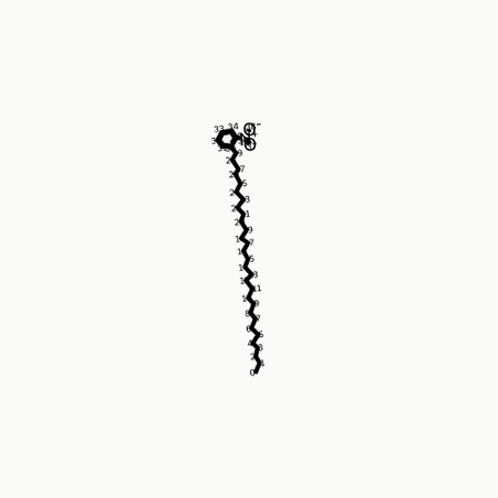 CCCCCCCCCCCCCCCCCCCCCCCCCCCCCCc1ccccc1[N+](=O)[O-]